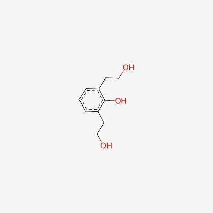 OCCc1cccc(CCO)c1O